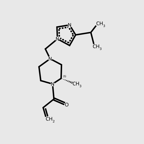 C=CC(=O)N1CCN(Cn2cnc(C(C)C)c2)C[C@@H]1C